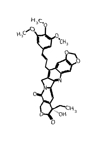 CC[C@@]1(O)C(=O)OCc2c1cc1n(c2=O)Cc2c-1nc1cc3c(cc1c2C/C=C/c1cc(OC)c(OC)c(OC)c1)OCO3